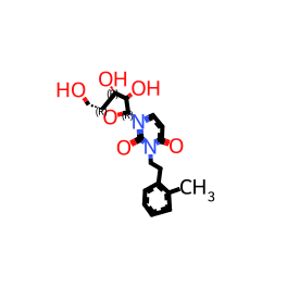 Cc1ccccc1CCn1c(=O)ccn([C@@H]2O[C@H](CO)[C@H](O)C2O)c1=O